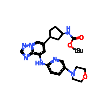 CC(C)(C)OC(=O)NC1CCC(c2cc(Nc3ccc(N4CCOCC4)cn3)c3ncnn3c2)C1